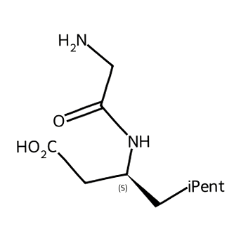 CCCC(C)C[C@@H](CC(=O)O)NC(=O)CN